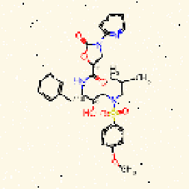 COc1ccc(S(=O)(=O)N(CC(C)C)C[C@@H](O)[C@H](CC2=CCCC=C2)NC(=O)[C@@H]2CN(c3ccccn3)C(=O)O2)cc1